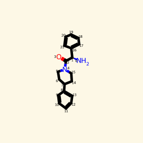 N[C@@H](C(=O)N1CCC(c2[c]cccc2)CC1)c1ccccc1